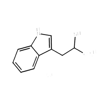 NC(Cc1c[nH]c2ccccc12)C(=O)O.[Cu]